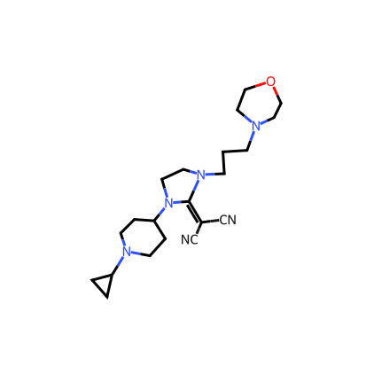 N#CC(C#N)=C1N(CCCN2CCOCC2)CCN1C1CCN(C2CC2)CC1